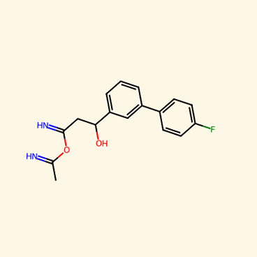 CC(=N)OC(=N)CC(O)c1cccc(-c2ccc(F)cc2)c1